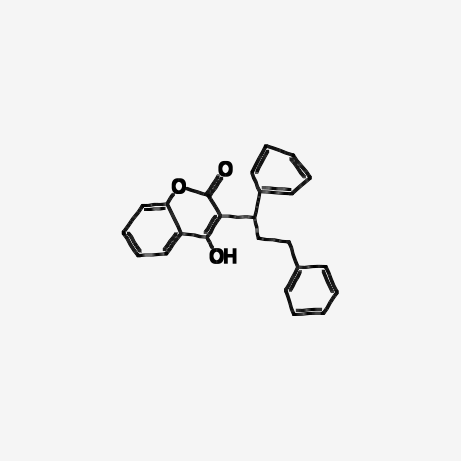 O=c1oc2ccccc2c(O)c1C(CCc1ccccc1)c1ccccc1